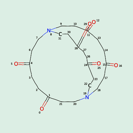 O=C1CCC(=O)CCN2CCC(=O)CCC(=O)CCN(CC1)CCC(=O)CCC(=O)CC2